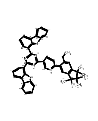 CCc1cc2c(cc1-c1ccc(-c3nc(-c4cccc5c4sc4ccccc45)nc(-c4cccc5c4sc4ccccc45)n3)cn1)C(C)(C)C(C)(C)C2(C)C